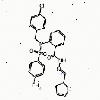 Cc1ccc(S(=O)(=O)N(Cc2ccc(Cl)cc2)c2ccccc2C(=O)N/N=C/C2CC=CO2)cc1